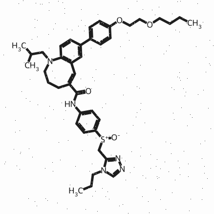 CCCCOCCOc1ccc(-c2ccc3c(c2)/C=C(/C(=O)Nc2ccc([S+]([O-])Cc4nncn4CCC)cc2)CCCN3CC(C)C)cc1